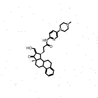 CN1CCN(c2ccc(NC(=O)CC[C@@H]3/C(=C/O)C(=O)[C@@]4(C)CCC5c6ccccc6CCC5C34)nc2)CC1